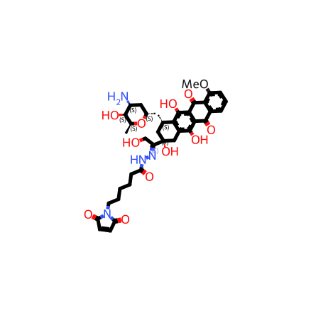 COc1cccc2c1C(=O)c1c(O)c3c(c(O)c1C2=O)C[C@@](O)(/C(CO)=N/NC(=O)CCCCCN1C(=O)C=CC1=O)C[C@@H]3C[C@H]1C[C@H](N)[C@H](O)[C@H](C)O1